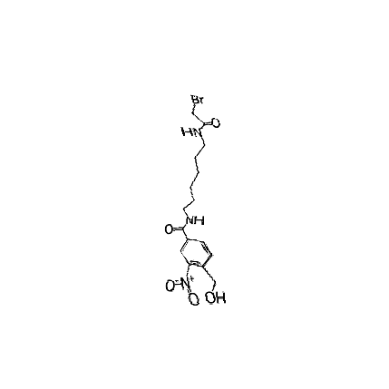 O=C(CBr)NCCCCCCNC(=O)c1ccc(CO)c([N+](=O)[O-])c1